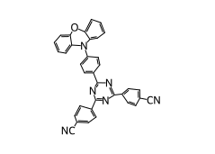 N#Cc1ccc(-c2nc(-c3ccc(C#N)cc3)nc(-c3ccc(N4c5ccccc5Oc5ccccc54)cc3)n2)cc1